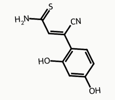 N#CC(=CC(N)=S)c1ccc(O)cc1O